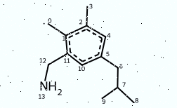 [CH2]c1c(C)cc(CC(C)C)cc1CN